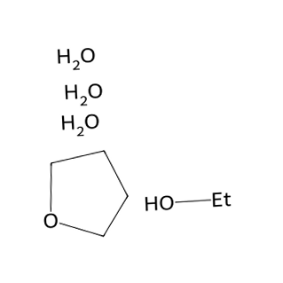 C1CCOC1.CCO.O.O.O